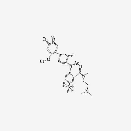 CCOc1cc(=O)[nH]cc1-c1ccc(N(C(C)=O)c2ccc(S(F)(F)(F)(F)F)cc2C(=O)N(C)CCN(C)C)c(F)c1